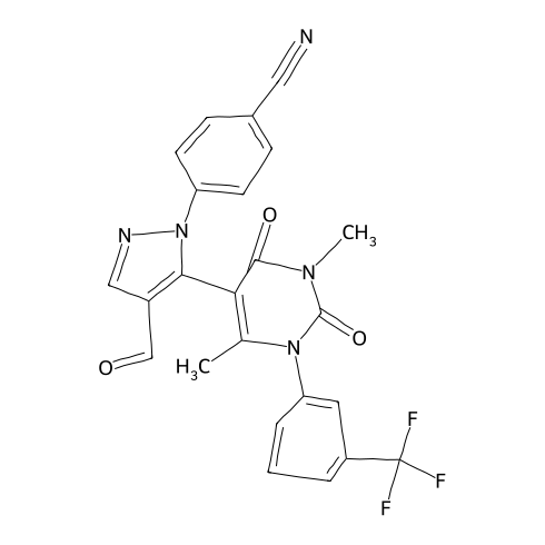 Cc1c(-c2c(C=O)cnn2-c2ccc(C#N)cc2)c(=O)n(C)c(=O)n1-c1cccc(C(F)(F)F)c1